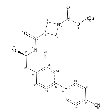 CC(C)(C)OC(=O)N1CC(C(=O)N[C@H](C#N)Cc2ccc(-c3ccc(C#N)cc3)cc2F)C1